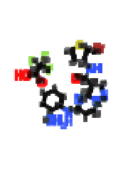 N[C@H]1CCCC[C@H]1Nc1ccn2ncc(C(=O)Nc3ccsc3Br)c2n1.O=C(O)C(F)(F)F